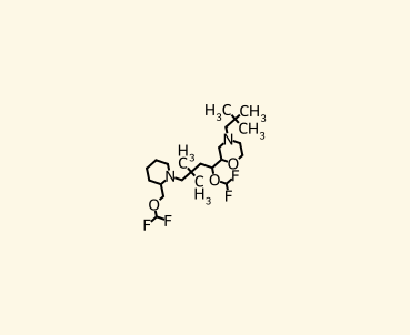 CC(C)(C)CN1CCOC(C(CC(C)(C)CN2CCCCC2COC(F)F)OC(F)F)C1